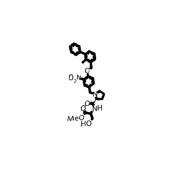 COC(=O)C(CO)NC(=O)[C@@H]1CCCN1Cc1ccc(OCc2cccc(-c3ccccc3)c2C)c([N+](=O)[O-])c1